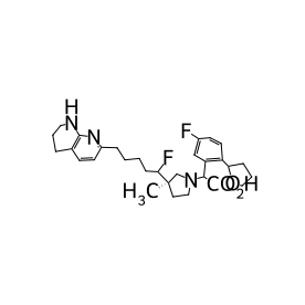 C[C@@]1(C(F)CCCCc2ccc3c(n2)NCCC3)CCN(C(C(=O)O)c2cc(F)ccc2C2CCCO2)C1